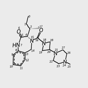 CC[C@H](C)[C@H]1C(=O)Nc2ccccc2CN1C(=O)N1CC(N2CCN(C)CC2)C1